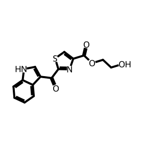 O=C(OCCO)c1csc(C(=O)c2c[nH]c3ccccc23)n1